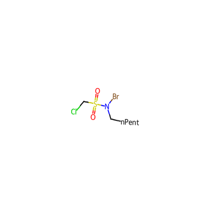 CCCCCCN(Br)S(=O)(=O)CCl